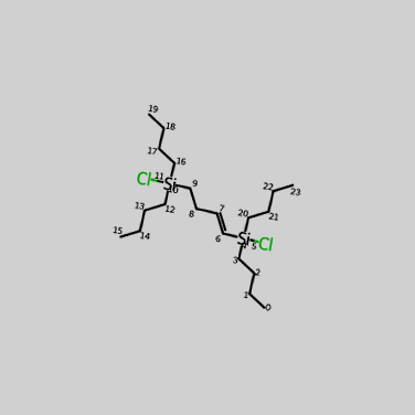 CCCC[Si](Cl)(C=CCC[Si](Cl)(CCCC)CCCC)CCCC